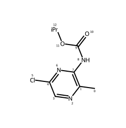 Cc1ncc(Cl)nc1NC(=O)OC(C)C